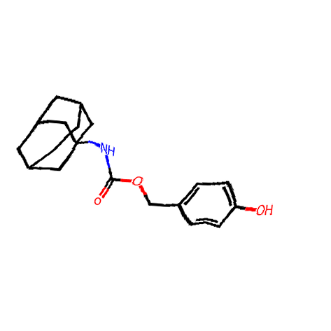 O=C(NC12CC3CC(CC(C3)C1)C2)OCc1ccc(O)cc1